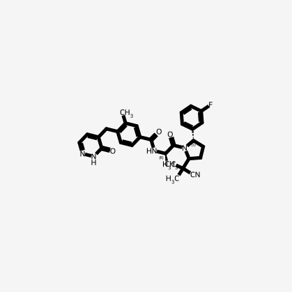 Cc1cc(C(=O)N[C@H](C)C(=O)N2C(C(C)(C)C#N)CC[C@H]2c2cccc(F)c2)ccc1Cc1ccn[nH]c1=O